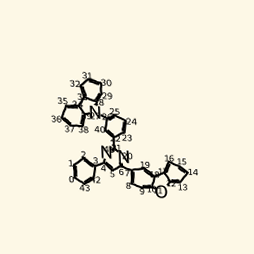 c1ccc(-c2cc(-c3ccc4oc5ccccc5c4c3)nc(-c3cccc(-n4c5ccccc5c5ccccc54)c3)n2)cc1